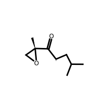 CC(C)C[CH]C(=O)[C@@]1(C)CO1